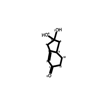 O=C1C=C2CC(O)(O)CC2CC1